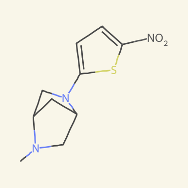 CN1CC2CC1CN2c1ccc([N+](=O)[O-])s1